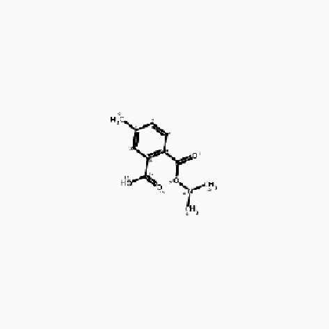 Cc1ccc(C(=O)ON(C)C)c(C(=O)O)c1